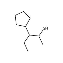 CCC(C(C)S)C1CCCC1